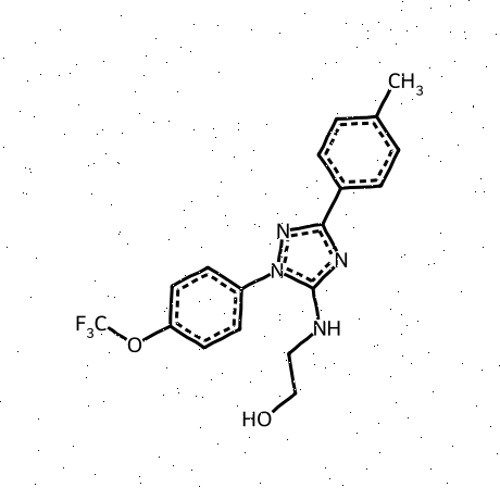 Cc1ccc(-c2nc(NCCO)n(-c3ccc(OC(F)(F)F)cc3)n2)cc1